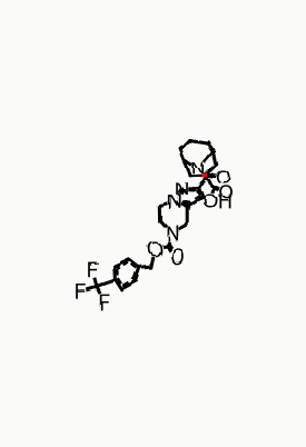 O=C(O)C1CC2CCCC(C1)N2C(=O)c1cc2n(n1)CCN(C(=O)OCc1ccc(C(F)(F)F)cc1)C2